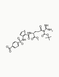 COC(=O)[C@H](CCC(=O)N(C(=N)N)C(=O)OC(C)(C)C)NC(=O)c1sccc1NS(=O)(=O)c1ccc([N+](=O)[O-])cc1